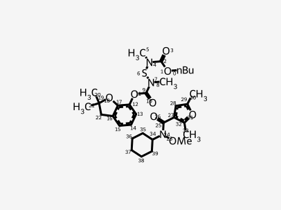 CCCCOC(=O)N(C)SN(C)C(=O)Oc1cccc2c1OC(C)(C)C2.CON(C(=O)c1cc(C)oc1C)C1CCCCC1